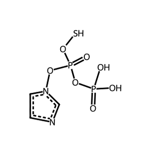 O=P(O)(O)OP(=O)(OS)On1ccnc1